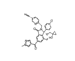 Cn1cc(C(=O)c2cc(F)c3c(c2)C(=O)N(Cc2ccc(C#N)cn2)[C@@]3(OCC2(O)CC2)c2ccc(Cl)cc2)cn1